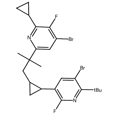 CC(C)(C)c1nc(F)c(C2CC2CC(C)(C)c2cc(Br)c(F)c(C3CC3)n2)cc1Br